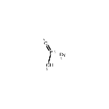 O=PO.[Dy]